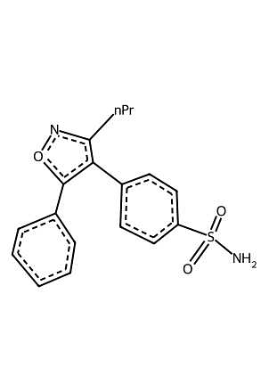 CCCc1noc(-c2ccccc2)c1-c1ccc(S(N)(=O)=O)cc1